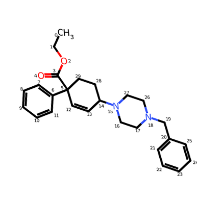 CCOC(=O)C1(c2ccccc2)C=CC(N2CCN(Cc3ccccc3)CC2)CC1